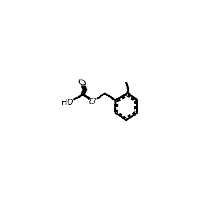 Cc1ccccc1COC(=O)O